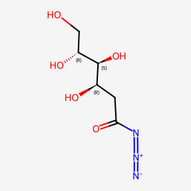 [N-]=[N+]=NC(=O)C[C@@H](O)[C@H](O)[C@H](O)CO